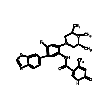 CC1CN(c2cc(F)c(-c3ccc4ncsc4c3)cc2NC(=O)c2c[nH]c(=O)cc2C(F)(F)F)CC(C)N1C